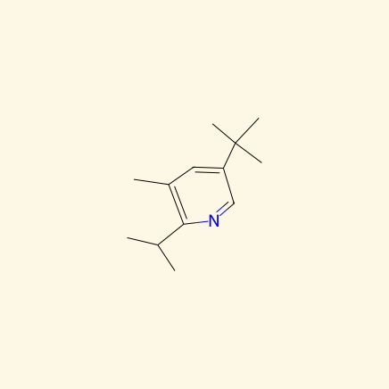 Cc1cc(C(C)(C)C)cnc1C(C)C